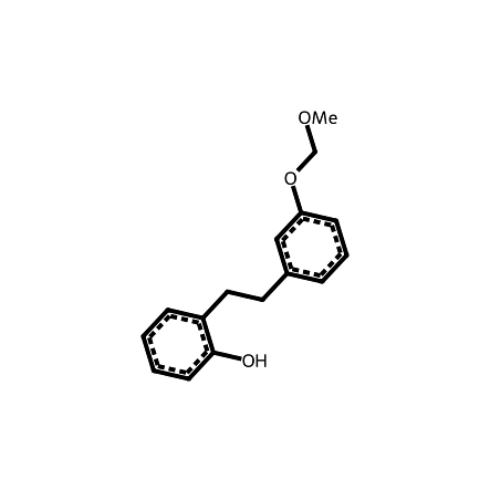 COCOc1cccc(CCc2ccccc2O)c1